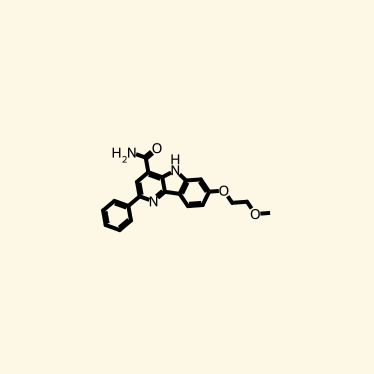 COCCOc1ccc2c(c1)[nH]c1c(C(N)=O)cc(-c3ccccc3)nc12